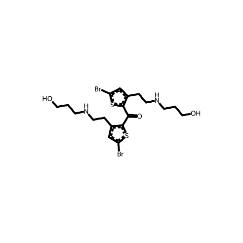 O=C(c1sc(Br)cc1CCNCCCO)c1sc(Br)cc1CCNCCCO